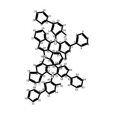 Cc1cc(-c2ccccc2)cc(N(c2cc(-c3ccccc3)ccc2C)c2c3ccccc3cc3c2c2cccc4c5c(N(c6cc(-c7ccccc7)ccc6C)c6cc(-c7ccccc7)ccc6C)c6ccccc6cc5n3c24)c1